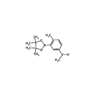 Cc1ccc([S+](C)[O-])cc1B1OC(C)(C)C(C)(C)O1